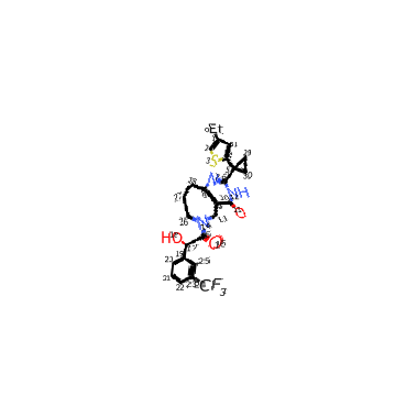 CCc1csc(C2(c3nc4c(c(=O)[nH]3)CN(C(=O)[C@H](O)c3cccc(C(F)(F)F)c3)CCC4)CC2)c1